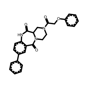 O=C1Nc2ccc(-c3ccccc3)cc2C(=O)N2CCN(C(=O)COc3ccccc3)CC12